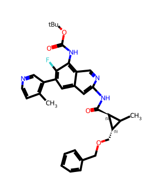 Cc1ccncc1-c1cc2cc(NC(=O)[C@H]3C(C)[C@@H]3COCc3ccccc3)ncc2c(NC(=O)OC(C)(C)C)c1F